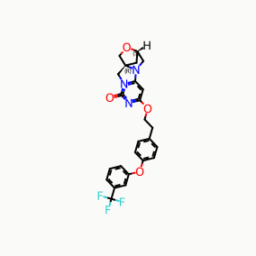 O=c1nc(OCCc2ccc(Oc3cccc(C(F)(F)F)c3)cc2)cc2n1C[C@]13CO[C@H](CN21)C3